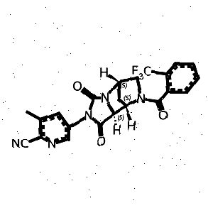 Cc1cc(N2C(=O)[C@@H]3[C@@H]4C[C@@H](CN4C(=O)c4ccccc4C(F)(F)F)N3C2=O)cnc1C#N